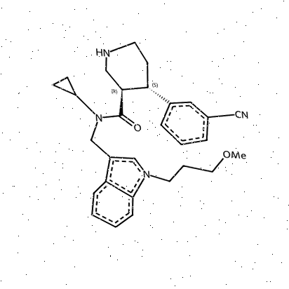 COCCCn1cc(CN(C(=O)[C@H]2CNCC[C@@H]2c2cccc(C#N)c2)C2CC2)c2ccccc21